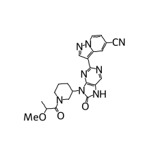 COC(C)C(=O)N1CCCC(n2c(=O)[nH]c3cnc(-c4cnn5ccc(C#N)cc45)nc32)C1